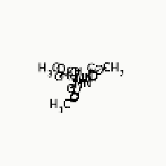 C=COc1ccc(/N=c2\[nH]c(=O)n(C[C@H](C)C(=O)OC)c(=O)n2Cc2ccc(C)cc2)cc1Cl